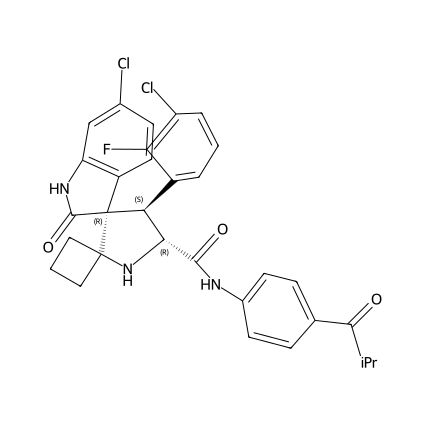 CC(C)C(=O)c1ccc(NC(=O)[C@@H]2NC3(CCC3)[C@@]3(C(=O)Nc4cc(Cl)ccc43)[C@H]2c2cccc(Cl)c2F)cc1